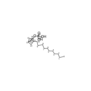 CCCCCCCCCCCC12CC3(C1)CC2(OP(=O)(O)O)C3